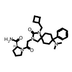 CN(C)C1(c2ccccc2)CCC2(CC1)CN(CC(=O)N1CCC[C@H]1C(N)=O)C(=O)N2CC1CCC1